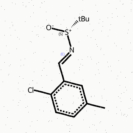 Cc1ccc(Cl)c(/C=N/[S@+]([O-])C(C)(C)C)c1